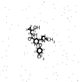 Cn1ccc(-c2cc(C(=O)NCC3(CO)CC3)cnc2Oc2ccc(C(F)(F)F)cc2)n1